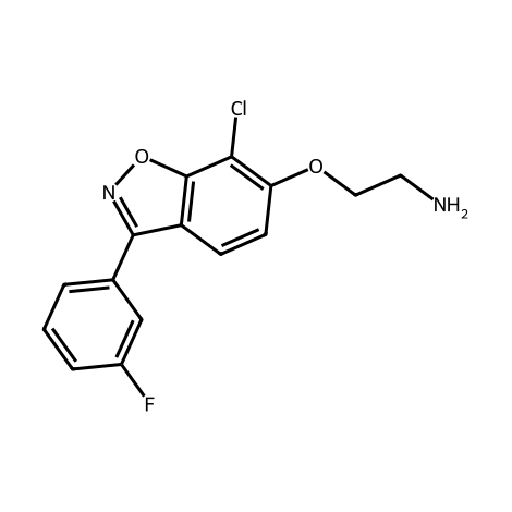 NCCOc1ccc2c(-c3cccc(F)c3)noc2c1Cl